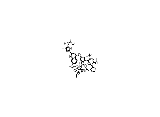 C=C[C@@H]1C[C@]1(NC(=O)[C@@H]1C[C@@H](Oc2cc(-c3c[nH]c(NC(C)=O)n3)nc3cc(OC)ccc23)CN1C(=O)[C@@H](NC(=O)OC1CCCC1)C(C)(C)C)P(=O)(OCC)OCC